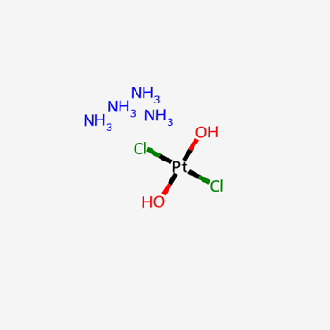 N.N.N.N.[OH][Pt]([OH])([Cl])[Cl]